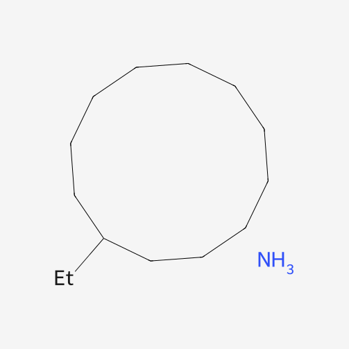 CCC1CCCCCCCCCCC1.N